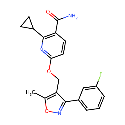 Cc1onc(-c2cccc(F)c2)c1COc1ccc(C(N)=O)c(C2CC2)n1